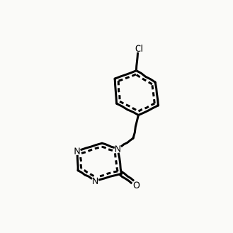 O=c1ncncn1Cc1ccc(Cl)cc1